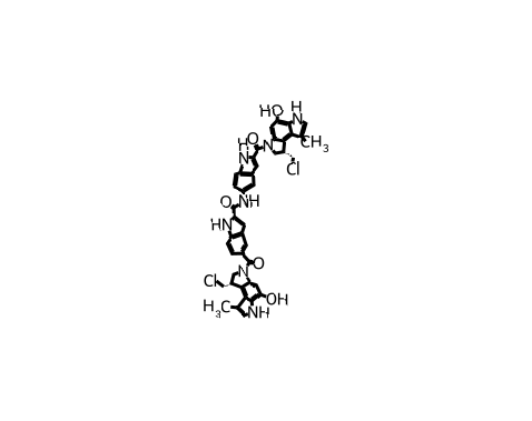 Cc1c[nH]c2c(O)cc3c(c12)[C@H](CCl)CN3C(=O)c1ccc2[nH]c(C(=O)Nc3ccc4[nH]c(C(=O)N5C[C@@H](CCl)c6c5cc(O)c5[nH]cc(C)c65)cc4c3)cc2c1